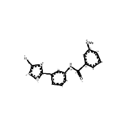 CCc1noc(-c2cccc(NC(=O)c3cccc(OC)c3)c2)n1